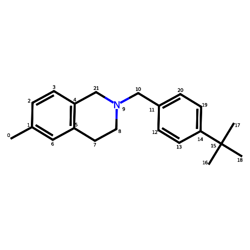 Cc1ccc2c(c1)CCN(Cc1ccc(C(C)(C)C)cc1)C2